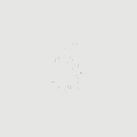 CC(=O)[C@@H]1[C@H](C)[C@@H]2CN1C(=O)[C@H](C(C)(C)C)NC(=O)O[C@]1(C)C[C@H]1CCCCC(F)(F)c1cc3ccc(C(F)(F)F)cc3nc1O2